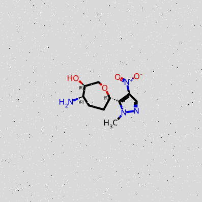 Cn1ncc([N+](=O)[O-])c1[C@@H]1CC[C@@H](N)[C@@H](O)CO1